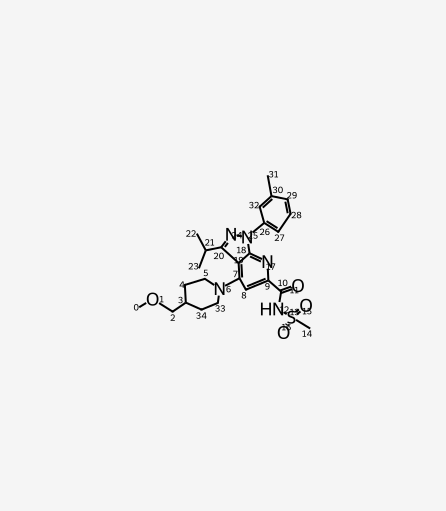 COCC1CCN(c2cc(C(=O)NS(C)(=O)=O)nc3c2c(C(C)C)nn3-c2cccc(C)c2)CC1